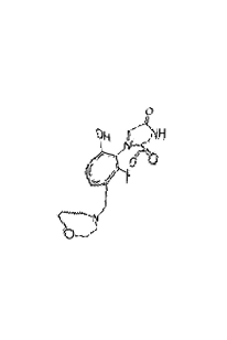 O=C1CN(c2c(O)ccc(CN3CCOCC3)c2F)S(=O)(=O)N1